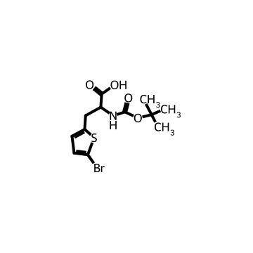 CC(C)(C)OC(=O)NC(Cc1ccc(Br)s1)C(=O)O